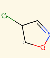 ClC1[C]ON=C1